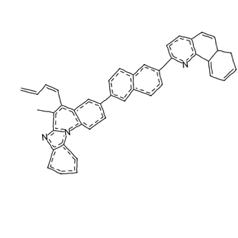 C=C/C=C\c1c(C)c2nc3ccccc3n2c2ccc(-c3ccc4cc(-c5ccc6c(n5)C5=CC=CCC5C=C6)ccc4c3)cc12